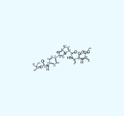 C=C(NC(=O)c1csc2nc(-c3ccc(NC(=O)OC(C)(C)C)cc3)cn12)C(=O)NC(=C)C(=O)OC